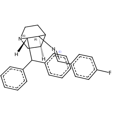 Fc1ccc(/C=N/[C@@H]2C3CCN(CC3)[C@H]2C(c2ccccc2)c2ccccc2)cc1